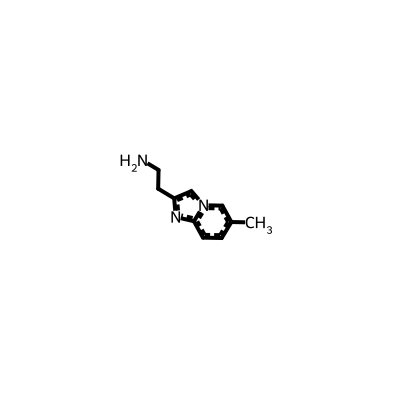 Cc1ccc2nc(CCN)cn2c1